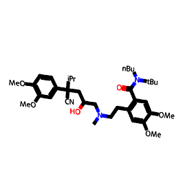 CCCCN(C(=O)c1cc(OC)c(OC)cc1CCN(C)CC(O)CC(C#N)(c1ccc(OC)c(OC)c1)C(C)C)C(C)(C)C